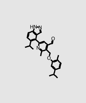 Cc1ccc(C(C)C)cc1OCc1c(C=O)cc(-c2c(C(C)C)ccc3[nH]ncc23)nc1C